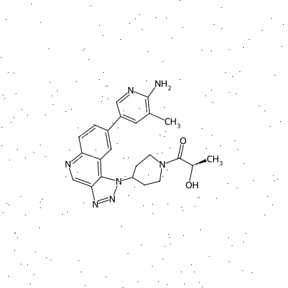 Cc1cc(-c2ccc3ncc4nnn(C5CCN(C(=O)[C@@H](C)O)CC5)c4c3c2)cnc1N